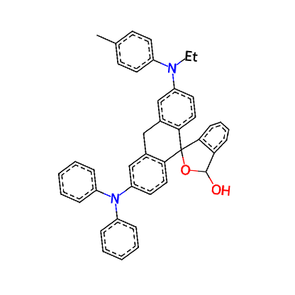 CCN(c1ccc(C)cc1)c1ccc2c(c1)Cc1cc(N(c3ccccc3)c3ccccc3)ccc1C21OC(O)c2ccccc21